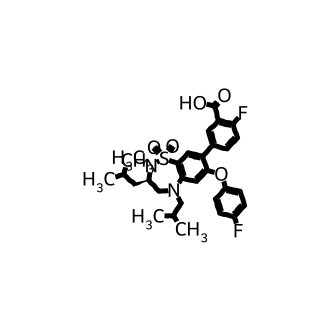 CC(C)C[C@@H]1CN(CC(C)C)c2cc(Oc3ccc(F)cc3)c(-c3ccc(F)c(C(=O)O)c3)cc2S(=O)(=O)N1C